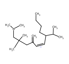 C=C(/C=C\C(CCCC)C(C)C)CC(C)(C)CN(C)C